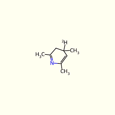 [2H]C1(C)C=C(C)N=C(C)C1